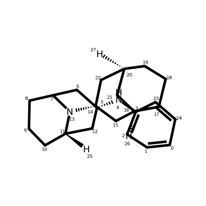 c1ccc(N[C@H]2CC3CCC[C@@H](C2)N3[C@H]2C[C@@H]3CCC[C@@H](C3)C2)cc1